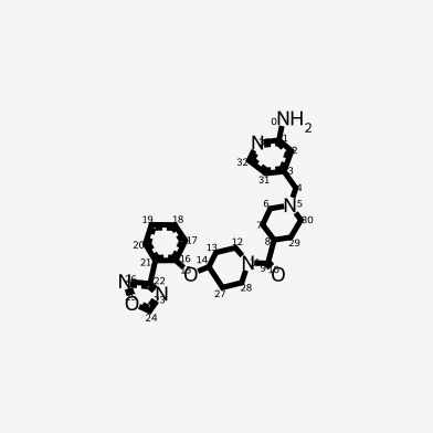 Nc1cc(CN2CCC(C(=O)N3CCC(Oc4ccccc4-c4ncon4)CC3)CC2)ccn1